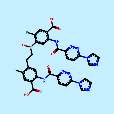 O=C(Nc1cc(CC[S+]([O-])c2cc(NC(=O)c3ccc(-n4ccnc4)nn3)c(C(=O)O)cc2F)c(F)cc1C(=O)O)c1ccc(-n2ccnc2)nn1